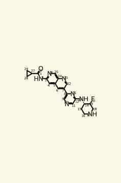 O=C(Nc1cc2cc(-c3cncc(N[C@H]4CCNC[C@@H]4F)n3)cnc2cn1)C1CC1